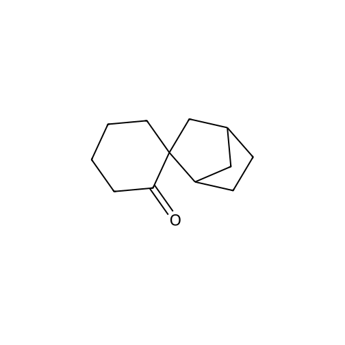 O=C1CCCCC12CC1CCC2C1